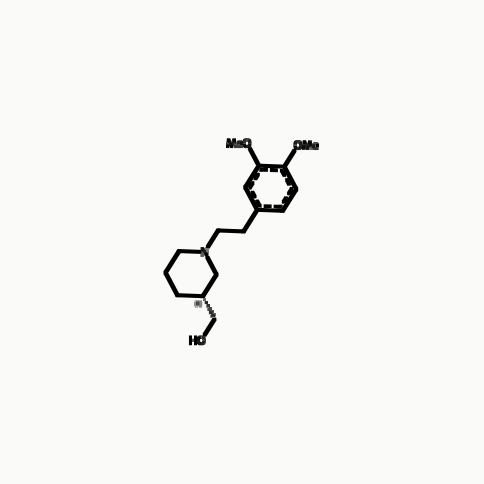 COc1ccc(CCN2CCC[C@@H](CO)C2)cc1OC